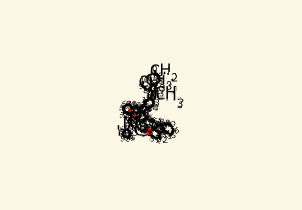 C=C/C=C\c1c(C)c(/C=C\C)n(-c2ccc3c(c2)c2ccccc2n3/C(Cn2c3ccccc3c3ccccc32)=C(/C=C\C)c2nc(-c3ccccc3)nc(-c3ccccc3)n2)c1C